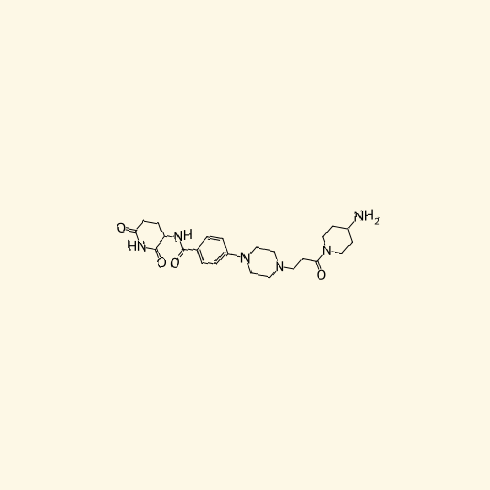 NC1CCN(C(=O)CCN2CCN(c3ccc(C(=O)NC4CCC(=O)NC4=O)cc3)CC2)CC1